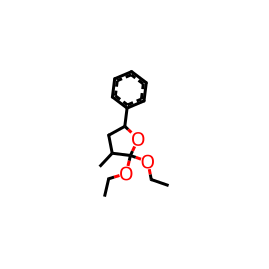 CCOC1(OCC)OC(c2ccccc2)CC1C